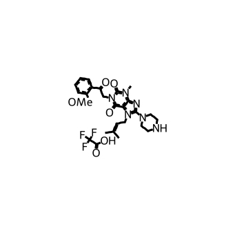 COc1ccccc1C(=O)Cn1c(=O)c2c(nc(N3CCNCC3)n2CC=C(C)C)n(C)c1=O.O=C(O)C(F)(F)F